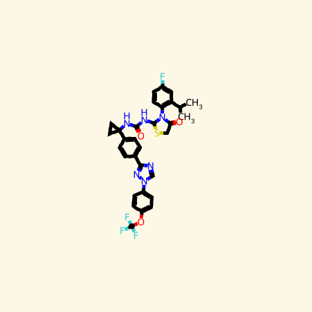 CC(C)c1cc(F)ccc1N1C(=O)CSC1NC(=O)NC1(c2ccc(-c3ncn(-c4ccc(OC(F)(F)F)cc4)n3)cc2)CC1